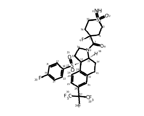 N=S1(=O)CCC(F)(C(=O)N2CC[C@]3(S(=O)(=O)c4ccc(F)cc4)c4ccc(C(F)(C(F)(F)F)C(F)(F)F)cc4CC[C@H]23)CC1